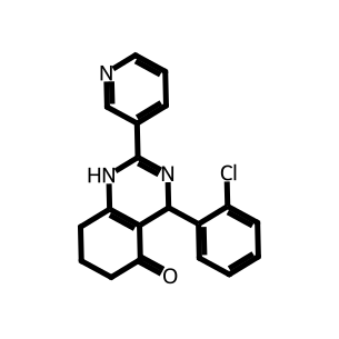 O=C1CCCC2=C1C(c1ccccc1Cl)N=C(c1cccnc1)N2